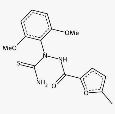 COc1cccc(OC)c1N(NC(=O)c1ccc(C)o1)C(N)=S